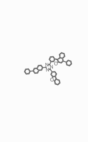 c1ccc(-c2ccc3cc(-c4nc(-c5ccc6c(c5)oc5ccccc56)nc(-c5cccc6c5oc5cc(-c7ccccc7)c7ccccc7c56)n4)ccc3c2)cc1